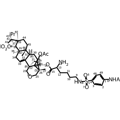 CC(=O)Nc1ccc(S(=O)(=O)NCCCCC(N)C(=O)O[C@H]2[C@H](OC(C)=O)C[C@@]34COC[C@]2(C)[C@@H]3CC[C@H]2C4=CC[C@@]3(C)[C@H](C(=O)O)[C@@](C)([C@H](C)C(C)C)CC[C@]23C)cc1